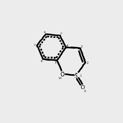 O=S1C=Cc2ccccc2O1